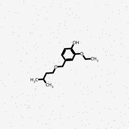 CCOc1cc(COCCC(C)C)ccc1O